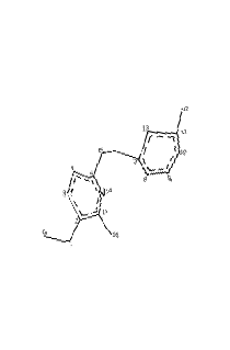 CCc1ccc(Cc2cccc(C)c2)nc1C